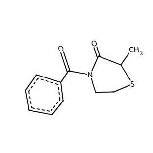 CC1SCCN(C(=O)c2ccccc2)C1=O